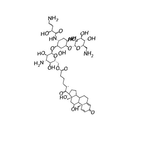 C[C@]12C=CC(=O)C=C1CCC1C2[C@@H](O)C[C@@]2(C)C1CC[C@]2(O)C(=O)[CH]CCCC(=O)OC[C@H]1O[C@H](O[C@@H]2[C@@H](O)[C@H](O[C@H]3O[C@H](CN)[C@@H](O)[C@H](O)[C@H]3O)[C@@H](N)C[C@H]2NC(=O)[C@@H](O)CCN)[C@H](O)[C@@H](N)[C@@H]1O